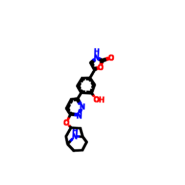 O=c1[nH]cc(-c2ccc(-c3ccc(OC4CC5CCCC(C4)N5)nn3)c(O)c2)o1